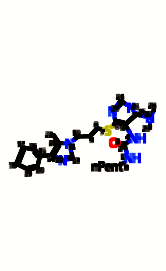 CCCCCNC(=O)Nc1c(SCCCn2cnc(-c3ccccc3)c2C)ncnc1N(C)C